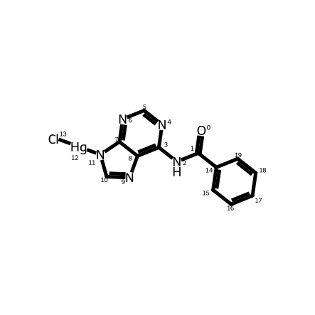 O=C(Nc1ncnc2c1nc[n]2[Hg][Cl])c1ccccc1